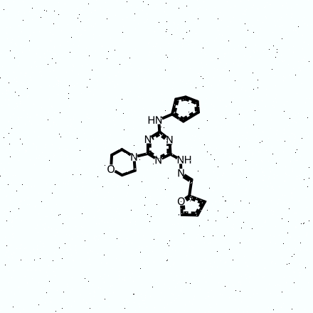 [c]1ccc(C=NNc2nc(Nc3ccccc3)nc(N3CCOCC3)n2)o1